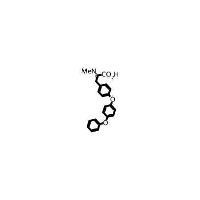 CN[C@@H](Cc1ccc(Oc2ccc(Oc3ccccc3)cc2)cc1)C(=O)O